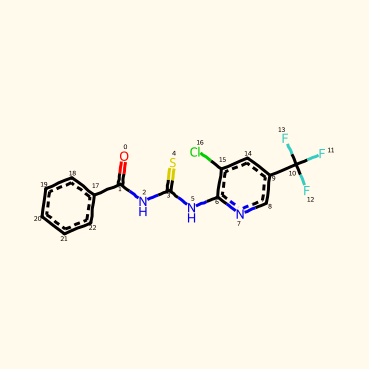 O=C(NC(=S)Nc1ncc(C(F)(F)F)cc1Cl)c1ccccc1